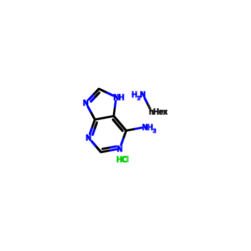 CCCCCCN.Cl.Nc1ncnc2nc[nH]c12